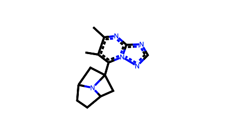 Cc1nc2ncnn2c(C23CC4CCC(C2)N43)c1C